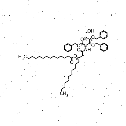 CCCCCCCCCCCCCC(=O)O[C@H](CCCCCCCCCCC)CC(=O)N[C@H]1[C@H](OCc2ccccc2)O[C@H](CO)[C@@H](OCc2ccccc2)[C@@H]1OCc1ccccc1